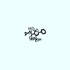 O=C(NC1CC1)c1c(NO)cc(-c2ccccc2)oc1=O